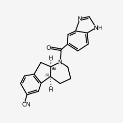 N#Cc1ccc2c(c1)[C@@H]1CCCN(C(=O)c3ccc4[nH]cnc4c3)[C@@H]1C2